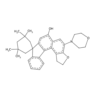 CC1(C)CC(C)(C)CC2(C1)c1ccccc1-c1c2cc(O)c2cc(N3CCOCC3)c3c(c12)CCO3